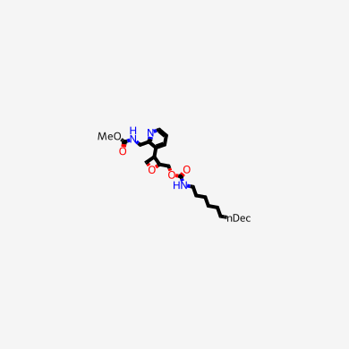 CCCCCCCCCCCCCCCCNC(=O)OCC1OCC1c1cccnc1CNC(=O)OC